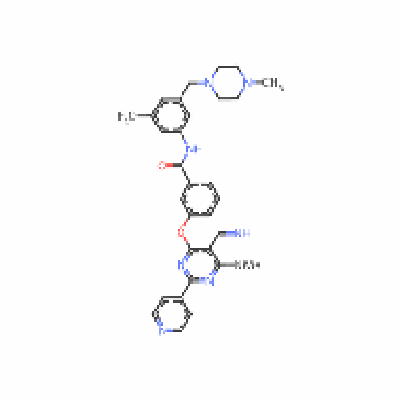 CNc1nc(-c2ccncc2)nc(Oc2cccc(C(=O)Nc3cc(CN4CCN(C)CC4)cc(C(F)(F)F)c3)c2)c1C=N